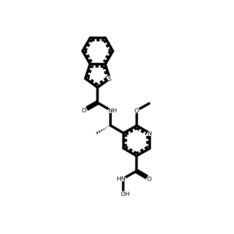 COc1ncc(C(=O)NO)cc1[C@H](C)NC(=O)c1cc2ccccc2s1